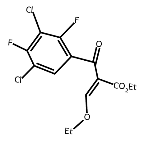 CCOC=C(C(=O)OCC)C(=O)c1cc(Cl)c(F)c(Cl)c1F